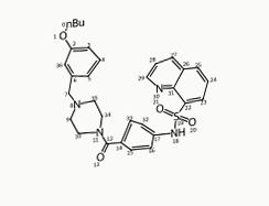 CCCCOc1cccc(CN2CCN(C(=O)c3ccc(NS(=O)(=O)c4cccc5cccnc45)cc3)CC2)c1